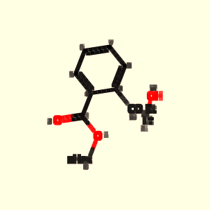 CCCCCCOC(=O)c1ccccc1C(=O)OCC.CCO